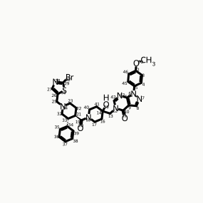 COc1ccc(-n2ncc3c(=O)n(CC4(O)CCN(C(=O)[C@@H]5CCN(Cc6cnc(Br)s6)C[C@H]5c5ccccc5)CC4)cnc32)cc1